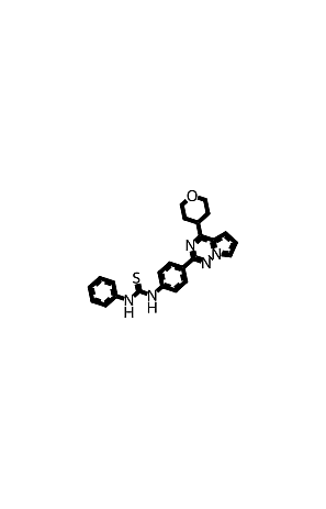 S=C(Nc1ccccc1)Nc1ccc(-c2nc(C3CCOCC3)c3cccn3n2)cc1